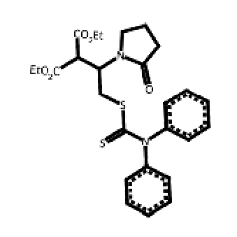 CCOC(=O)C(C(=O)OCC)C(CSC(=S)N(c1ccccc1)c1ccccc1)N1CCCC1=O